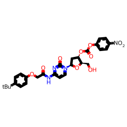 CC(C)(C)c1ccc(OCC(=O)Nc2ccn([C@H]3C[C@H](OC(=O)Oc4ccc([N+](=O)[O-])cc4)[C@@H](CO)O3)c(=O)n2)cc1